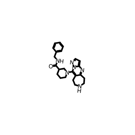 O=C(NCc1ccccc1)C1CCCN(c2c3c(nc4ccnn24)CCNCC3)C1